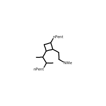 CCCCCC(C)C(C)C1CC(CCCCC)C1CCNC